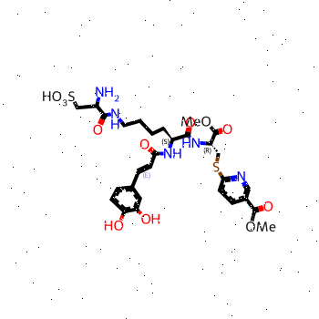 COC(=O)c1ccc(SC[C@H](NC(=O)[C@H](CCCCNC(=O)C(N)CS(=O)(=O)O)NC(=O)/C=C/c2ccc(O)c(O)c2)C(=O)OC)nc1